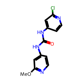 COc1cc(NC(=O)Nc2ccnc(Cl)c2)ccn1